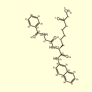 CCC(=O)CCCCC[C@H](NC(=O)CNC(=O)c1ccccc1)C(=O)Nc1ccc2ccccc2c1